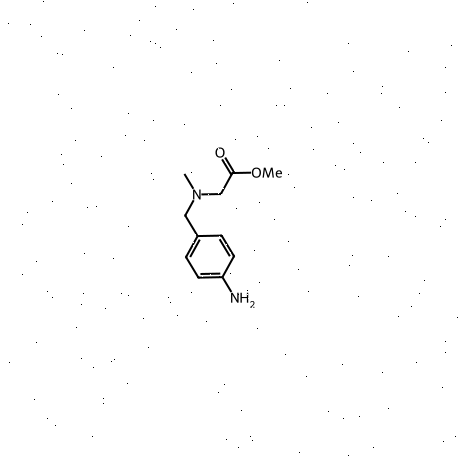 COC(=O)CN(C)Cc1ccc(N)cc1